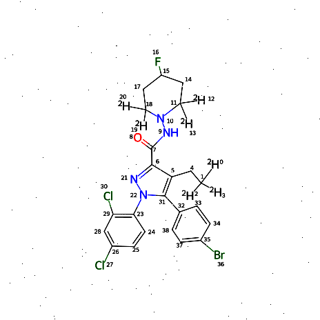 [2H]C([2H])([2H])Cc1c(C(=O)NN2C([2H])([2H])CC(F)CC2([2H])[2H])nn(-c2ccc(Cl)cc2Cl)c1-c1ccc(Br)cc1